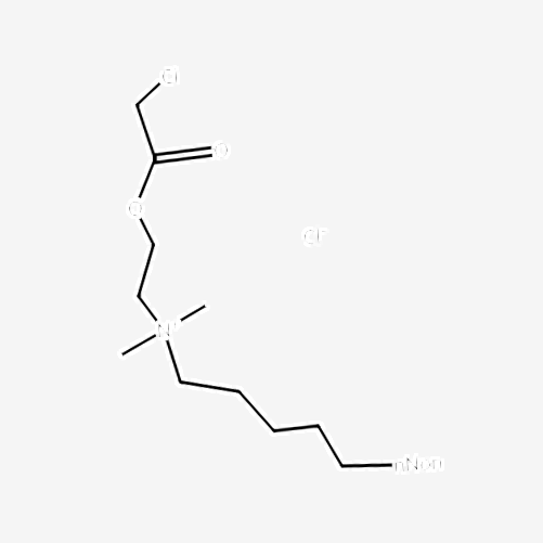 CCCCCCCCCCCCCC[N+](C)(C)CCOC(=O)CCl.[Cl-]